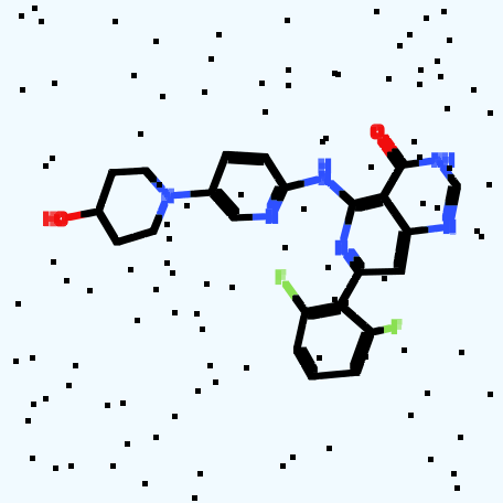 O=c1[nH]cnc2cc(-c3c(F)cccc3F)nc(Nc3ccc(N4CCC(O)CC4)cn3)c12